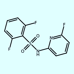 O=S(=O)(Nc1cccc(F)n1)c1c(F)cccc1F